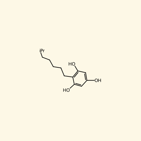 CC(C)CCCCCc1c(O)cc(O)cc1O